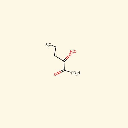 O.O=C(O)C(=O)C(=O)CCC(F)(F)F